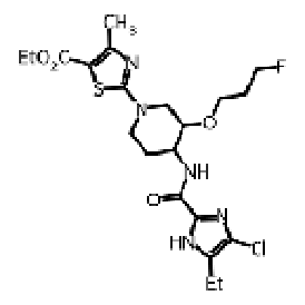 CCOC(=O)c1sc(N2CCC(NC(=O)c3nc(Cl)c(CC)[nH]3)C(OCCCF)C2)nc1C